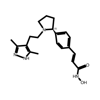 Cc1n[nH]c(C)c1CCN1CCC[C@H]1c1ccc(C=CC(=O)NO)cc1